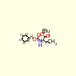 C=CC(NC(=O)OCc1ccccc1)C(=O)OC(C)(C)C